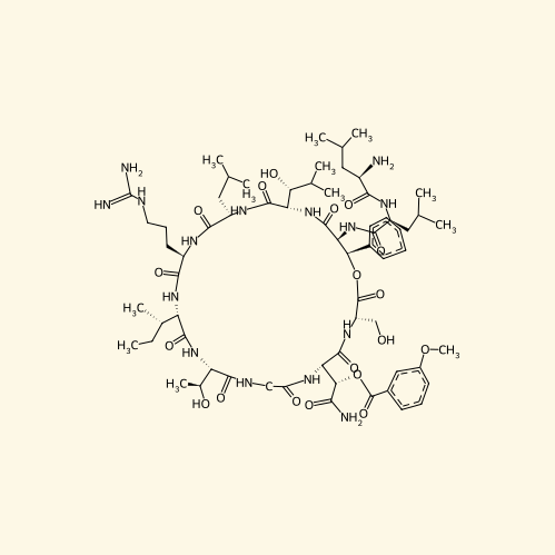 CC[C@H](C)[C@@H]1NC(=O)[C@@H](CCCNC(=N)N)NC(=O)[C@H](CC(C)C)NC(=O)[C@H]([C@H](O)C(C)C)NC(=O)[C@@H](NC(=O)[C@H](CC(C)C)NC(=O)[C@H](N)CC(C)C)[C@@H](c2ccccc2)OC(=O)[C@H](CO)NC(=O)[C@H]([C@H](OC(=O)c2cccc(OC)c2)C(N)=O)NC(=O)CNC(=O)[C@H]([C@H](C)O)NC1=O